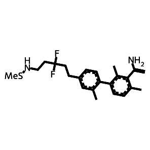 C=C(N)c1c(C)ccc(-c2ccc(CCC(F)(F)CCNSC)cc2C)c1C